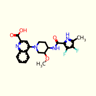 COC1CN(c2cc(C(=O)O)nc3ccccc23)CCC1NC(=O)c1[nH]c(C)c(F)c1F